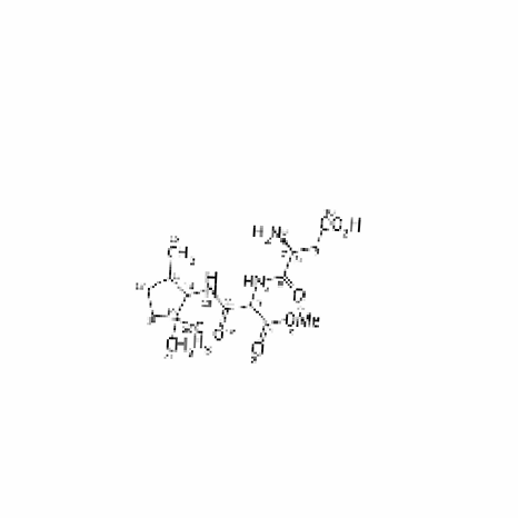 COC(=O)C(NC(=O)[C@@H](N)CC(=O)O)C(=O)NC1C(C)CCC1(C)C